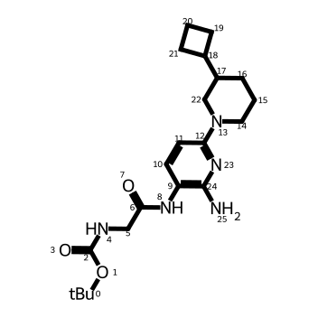 CC(C)(C)OC(=O)NCC(=O)Nc1ccc(N2CCCC(C3CCC3)C2)nc1N